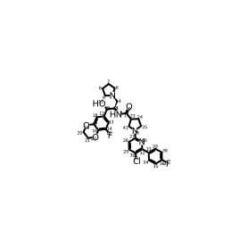 O=C(N[C@H](CN1CCCC1)[C@H](O)c1cc(F)c2c(c1)OCCO2)C1CCN(c2ccc(Cl)c(-c3ccc(F)cc3)n2)C1